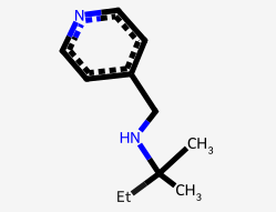 CCC(C)(C)NCc1ccncc1